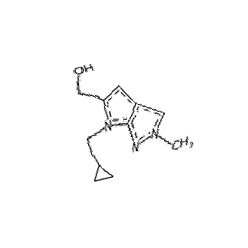 Cn1cc2cc(CO)n(CC3CC3)c2n1